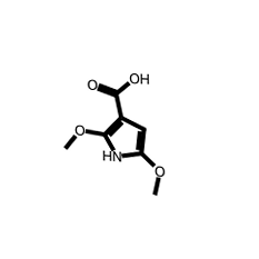 COc1cc(C(=O)O)c(OC)[nH]1